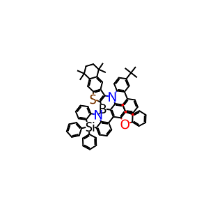 CC(C)(C)c1ccc(N2c3cc4c(oc5ccccc54)c4c3B(c3sc5cc6c(cc5c32)C(C)(C)CCC6(C)C)N2c3ccccc3[Si](c3ccccc3)(c3ccccc3)c3cccc-4c32)c(-c2ccccc2)c1